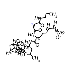 CCCNC(=O)/C=C\C(=O)N[C@@H](CCCNC1NN1[N+](=O)[O-])C(=O)N[C@@H](CC(C)C)B1O[C@@H]2C[C@@H]3C[C@@H](C3(C)C)[C@]2(C)O1